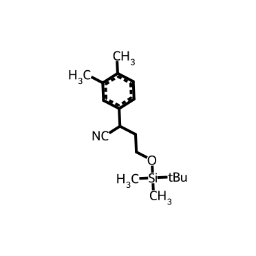 Cc1ccc(C(C#N)CCO[Si](C)(C)C(C)(C)C)cc1C